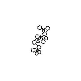 O=S1(=O)c2ccccc2-c2c(-c3cccc4c3sc3c(N5c6ccccc6Oc6cc7c8ccccc8n(-c8ccccc8)c7cc65)cccc34)cccc21